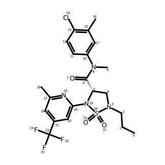 CCCN1C[C@@H](C(=O)N(C)c2ccc(Cl)c(C)c2)N(c2cc(C(F)(F)F)cc(C)n2)S1(=O)=O